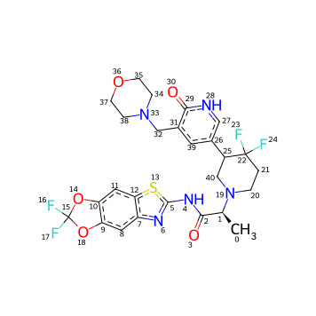 C[C@@H](C(=O)Nc1nc2cc3c(cc2s1)OC(F)(F)O3)N1CCC(F)(F)C(c2c[nH]c(=O)c(CN3CCOCC3)c2)C1